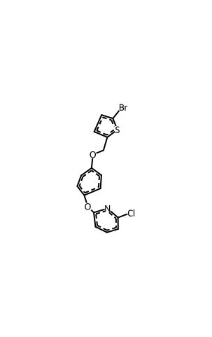 Clc1cccc(Oc2ccc(OCc3ccc(Br)s3)cc2)n1